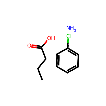 CCCC(=O)O.Clc1ccccc1.N